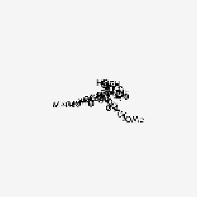 COCCOCCOC(=O)OCOP(=O)(OCOC(=O)OCCOCCOC)OC[C@@](CF)(O[C@H](CO)n1ccc(=O)[nH]c1=O)[C@H](C)O